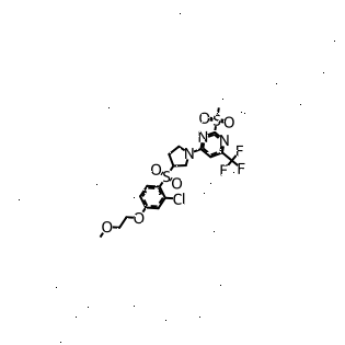 COCCOc1ccc(S(=O)(=O)C2CCN(c3cc(C(F)(F)F)nc(S(C)(=O)=O)n3)C2)c(Cl)c1